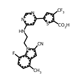 Cc1ccc(F)c2c1cc(C#N)n2CCNc1cc(-c2cc(C(F)(F)F)c(C(=O)O)s2)ncn1